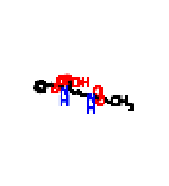 C=CCOC(=O)NCCCCC(NC(=O)OCc1ccccc1)C(=O)O